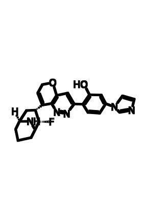 Oc1cc(-n2ccnc2)ccc1-c1cc2c(nn1)C([C@H]1C[C@@H]3CCCC(N3)[C@H]1F)=CCO2